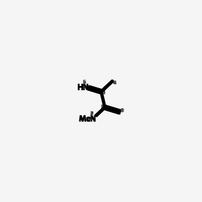 C=C(NC)C(C)=N